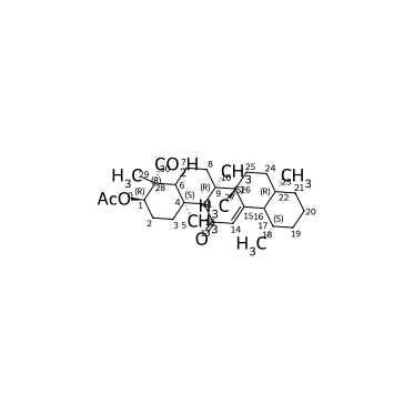 CC(=O)O[C@@H]1CC[C@@]2(C)C(CC[C@]3(C)C2C(=O)C=C2C4[C@@H](C)CCC[C@]4(C)CC[C@]23C)[C@@]1(C)C(=O)O